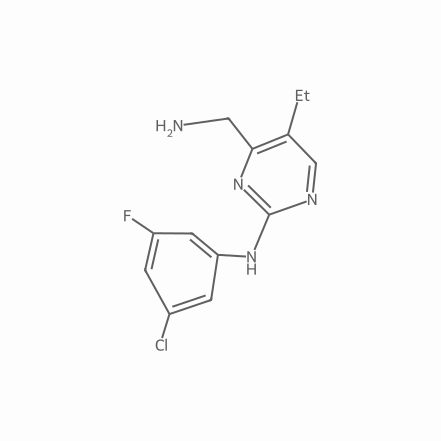 CCc1cnc(Nc2cc(F)cc(Cl)c2)nc1CN